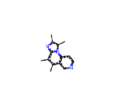 Cc1nc2c(C)c(C)c3cnccc3n2c1C